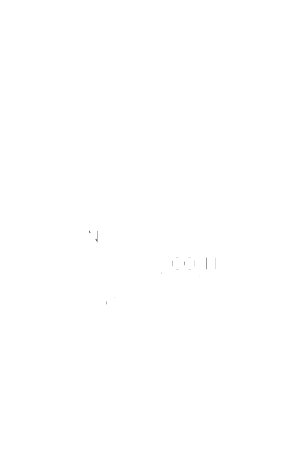 CC(C=CC(C)(C)C(=O)O)N(Cc1ccccc1)Cc1ccccc1